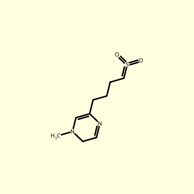 CN1C=C(CCCC=S(=O)=O)N=CC1